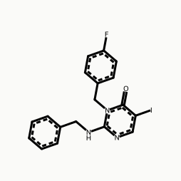 O=c1c(I)cnc(NCc2ccccc2)n1Cc1ccc(F)cc1